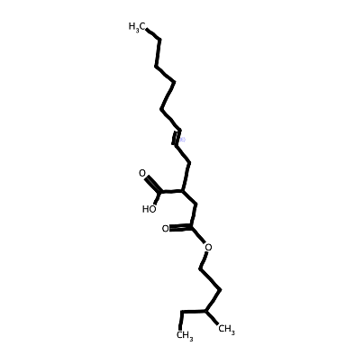 CCCCC/C=C/CC(CC(=O)OCCC(C)CC)C(=O)O